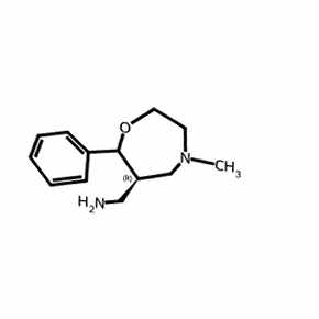 CN1CCOC(c2ccccc2)[C@H](CN)C1